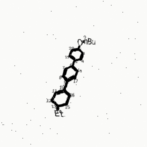 CCCCOc1ccc(-c2ccc(C3=CCC(CC)CC3)cc2)cc1